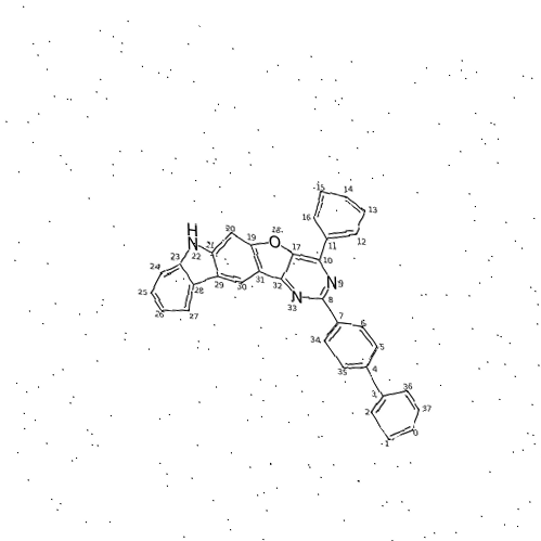 c1ccc(-c2ccc(-c3nc(-c4ccccc4)c4oc5cc6[nH]c7ccccc7c6cc5c4n3)cc2)cc1